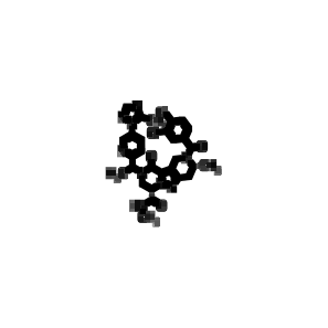 CNC(=O)[C@@H]1CN(C(C)c2ccc(-n3ncnc3C)cn2)C(=O)c2c3c(nn21)C[C@@H](C)N(C(=O)c1ccc(Cl)c(Cl)c1)C3